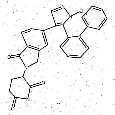 Cn1ncc(-c2ccc3c(c2)CN(C2CCC(=O)NC2=O)C3=O)c1-c1ccccc1-c1ccccc1